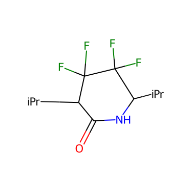 CC(C)C1NC(=O)C(C(C)C)C(F)(F)C1(F)F